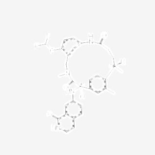 Cc1cc2ccc1[C@@H](C)CCC(=O)Nc1ccc(OC(F)F)c(c1)CN(C)C(=O)[C@@H]2Nc1ccc2cc[nH]c(=O)c2c1